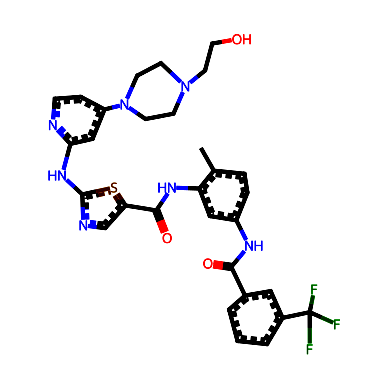 Cc1ccc(NC(=O)c2cccc(C(F)(F)F)c2)cc1NC(=O)c1cnc(Nc2cc(N3CCN(CCO)CC3)ccn2)s1